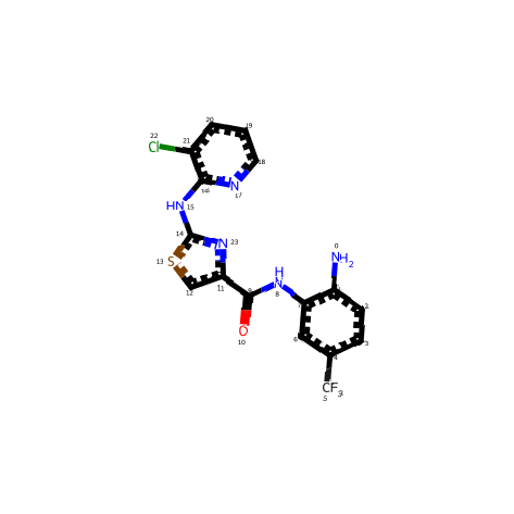 Nc1ccc(C(F)(F)F)cc1NC(=O)c1csc(Nc2ncccc2Cl)n1